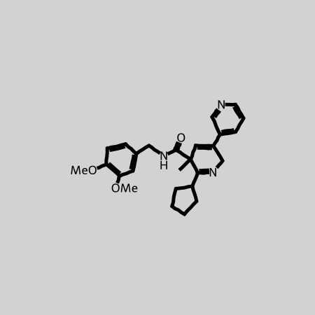 COc1ccc(CNC(=O)C2(C)C=C(c3cccnc3)CN=C2C2CCCC2)cc1OC